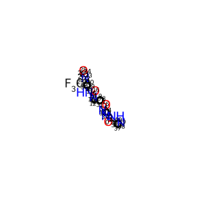 O=C(Nc1cc(Oc2ccc3c(ccn3C(=O)Nc3ccc(N4CCOCC4)c(C(F)(F)F)c3)c2)ncn1)c1cccnc1